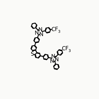 FC(F)(F)c1ccc(-c2nc(C3=CCCC=C3)nc(-c3ccc(-c4ccc5sc6ccc(-c7ccc(-c8nc(-c9ccccc9)nc(-c9ccc(C(F)(F)F)cc9)n8)cc7)cc6c5c4)cc3)n2)cc1